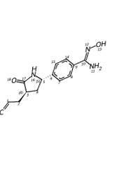 C=CC[C@@H]1C[C@@H](c2ccc(C(N)=NO)cc2)NC1=O